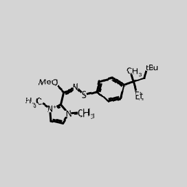 CCC(C)(CC(C)(C)C)c1ccc(SN=C(OC)c2n(C)cc[n+]2C)cc1